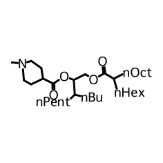 CCCCCCCCC(CCCCCC)C(=O)OCC(OC(=O)C1CCN(C)CC1)C(CCCC)CCCCC